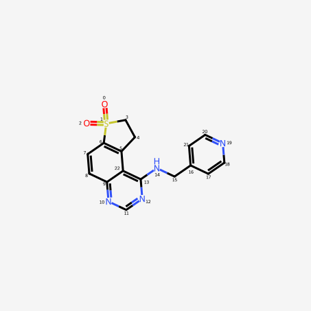 O=S1(=O)CCc2c1ccc1ncnc(NCc3ccncc3)c21